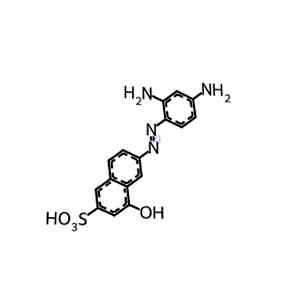 Nc1ccc(/N=N/c2ccc3cc(S(=O)(=O)O)cc(O)c3c2)c(N)c1